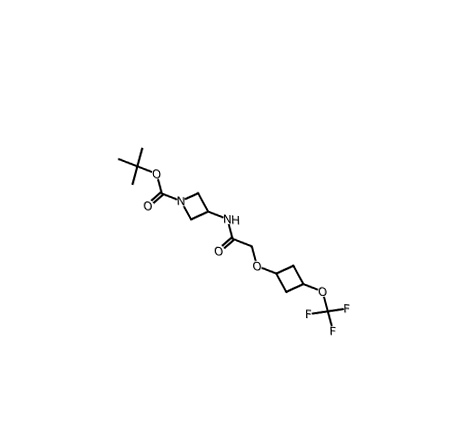 CC(C)(C)OC(=O)N1CC(NC(=O)COC2CC(OC(F)(F)F)C2)C1